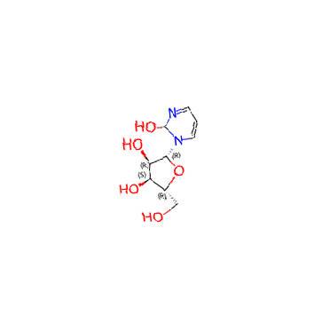 OC[C@H]1O[C@@H](N2C=CC=NC2O)[C@H](O)[C@@H]1O